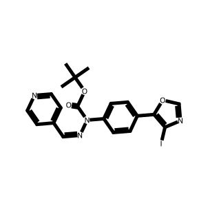 CC(C)(C)OC(=O)N(/N=C\c1ccncc1)c1ccc(-c2ocnc2I)cc1